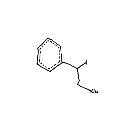 CCC(C)CC(I)c1ccccc1